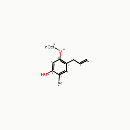 C=CCc1cc(C(C)=O)c(O)cc1OCCCCCCCC